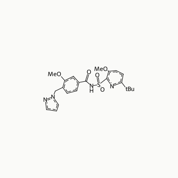 COc1cc(C(=O)NS(=O)(=O)c2nc(C(C)(C)C)ccc2OC)ccc1Cn1cccn1